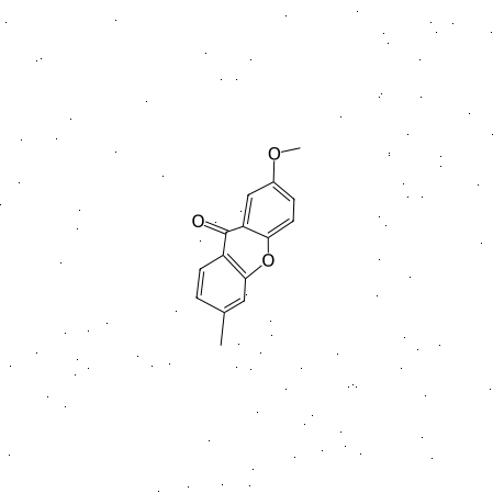 COc1ccc2oc3cc(C)ccc3c(=O)c2c1